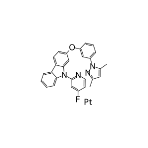 Cc1cc(C)n(-c2cccc(Oc3ccc4c5ccccc5n(-c5cc(F)ccn5)c4c3)c2)n1.[Pt]